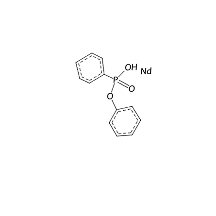 O=P(O)(Oc1ccccc1)c1ccccc1.[Nd]